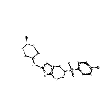 CCc1ccc(S(=O)(=O)C2Cc3cc(OC4CCN(C(C)C)CC4)sc3CN2)cc1